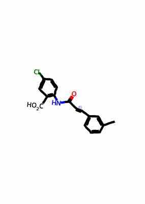 Cc1cccc(/C=C/C(=O)Nc2ccc(Cl)cc2C(=O)O)c1